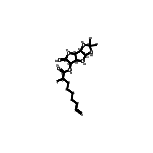 C=CCCCCCC(C)C(=O)OC1C(=O)OC2C3OC(C)(C)OC3OC12